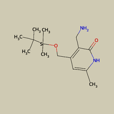 Cc1cc(CO[Si](C)(C)C(C)(C)C)c(CN)c(=O)[nH]1